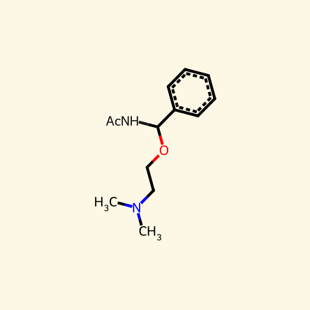 CC(=O)NC(OCCN(C)C)c1ccccc1